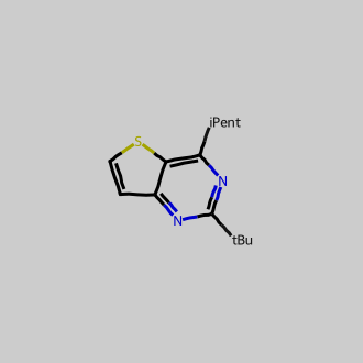 CCCC(C)c1nc(C(C)(C)C)nc2ccsc12